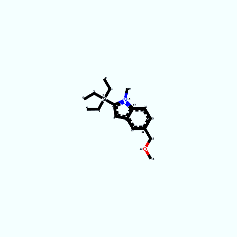 CC[Si](CC)(CC)c1cc2cc(COC)ccc2n1C